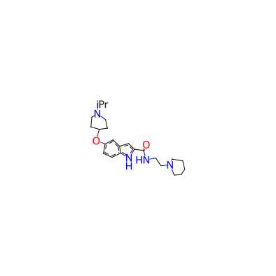 CC(C)N1CCC(Oc2ccc3[nH]c(C(=O)NCCN4CCCCC4)cc3c2)CC1